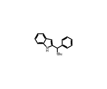 CC(C)(C)C(c1ccccc1)c1cc2ccccc2[nH]1